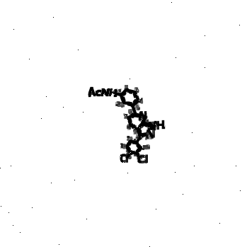 CC(=O)Nc1cccc(-c2ccc3c(-c4ccc(Cl)c(Cl)c4)n[nH]c3n2)c1